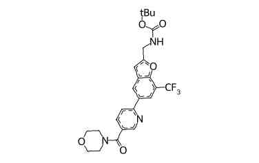 CC(C)(C)OC(=O)NCc1cc2cc(-c3ccc(C(=O)N4CCOCC4)cn3)cc(C(F)(F)F)c2o1